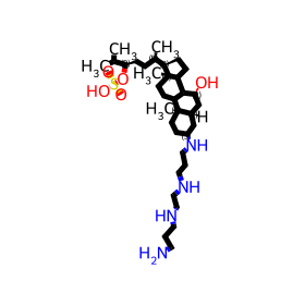 CC(C)[C@@H](CC[C@@H](C)[C@H]1CCC2C3C(CC[C@@]21C)[C@@]1(C)CC[C@H](NCCCNCCNCCCN)C[C@@H]1C[C@H]3O)OS(=O)(=O)O